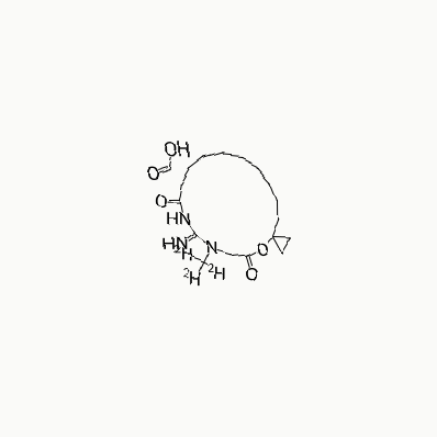 O=CO.[2H]C([2H])([2H])N1CC(=O)OC2(CCCCCCCCCC(=O)NC1=N)CC2